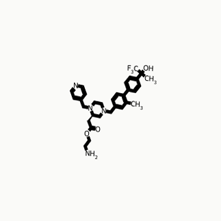 Cc1cc(CN2CCN(Cc3ccncc3)[C@H](CC(=O)OCCN)C2)ccc1-c1ccc(C(C)(O)C(F)(F)F)cc1